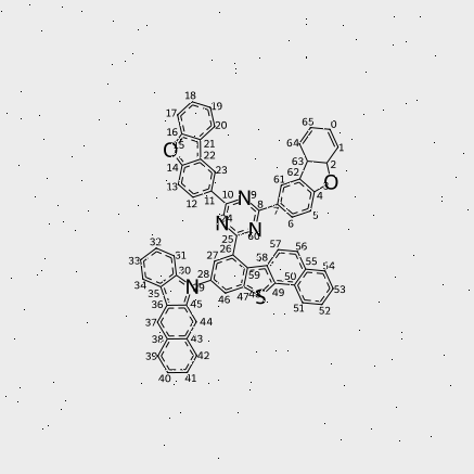 C1=CC2Oc3ccc(-c4nc(-c5ccc6oc7ccccc7c6c5)nc(-c5cc(-n6c7ccccc7c7cc8ccccc8cc76)cc6sc7c8ccccc8ccc7c56)n4)cc3C2C=C1